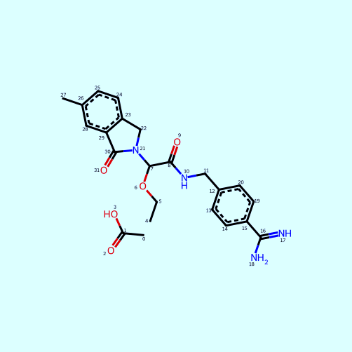 CC(=O)O.CCOC(C(=O)NCc1ccc(C(=N)N)cc1)N1Cc2ccc(C)cc2C1=O